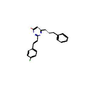 Oc1cc(CCCc2ccccc2)nc(/C=C/c2ccc(Br)cc2)n1